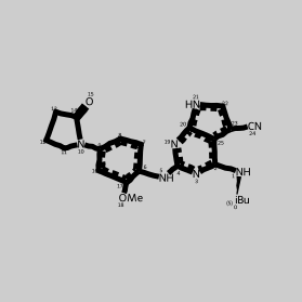 CC[C@H](C)Nc1nc(Nc2ccc(N3CCCC3=O)cc2OC)nc2[nH]cc(C#N)c12